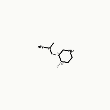 CCCN(C)C[C@@H]1CNCC[C@@H]1C